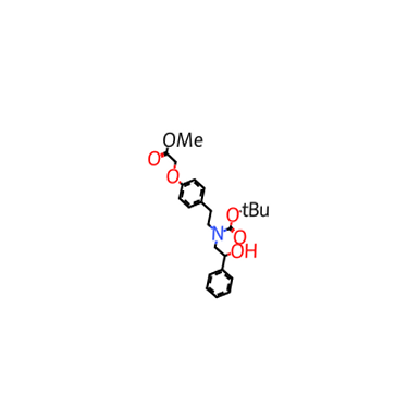 COC(=O)COc1ccc(CCN(CC(O)c2ccccc2)C(=O)OC(C)(C)C)cc1